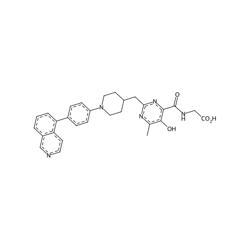 Cc1nc(CC2CCN(c3ccc(-c4cccc5cnccc45)cc3)CC2)nc(C(=O)NCC(=O)O)c1O